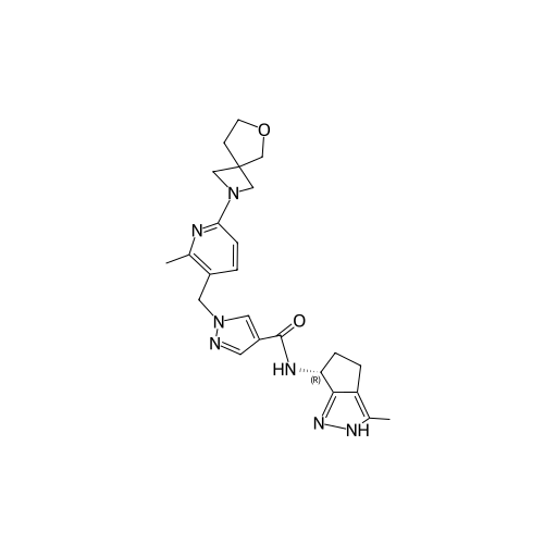 Cc1nc(N2CC3(CCOC3)C2)ccc1Cn1cc(C(=O)N[C@@H]2CCc3c2n[nH]c3C)cn1